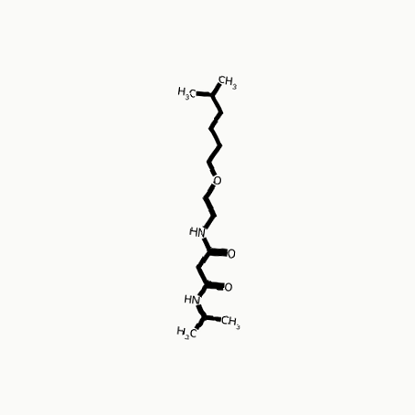 CC(C)CCCCOCCNC(=O)CC(=O)NC(C)C